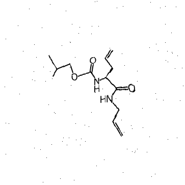 C=CCNC(=O)[C@H](CC=C)NC(=O)OCC(C)C